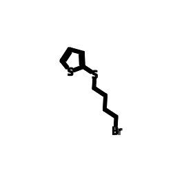 BrCCCCSc1cccs1